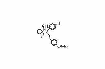 COc1ccc(CCN2C(=O)C3(CCCC3)N(C)C2c2ccc(Cl)cc2)cc1